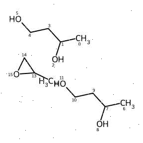 CC(O)CCO.CC(O)CCO.CC1CO1